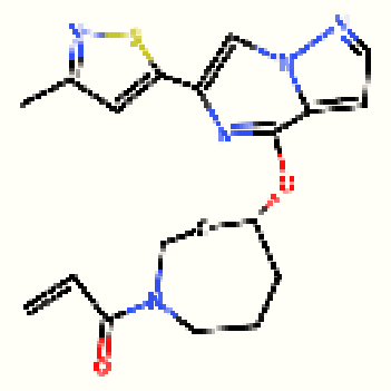 C=CC(=O)N1CCC[C@@H](Oc2nc(-c3cc(C)ns3)cn3nccc23)CC1